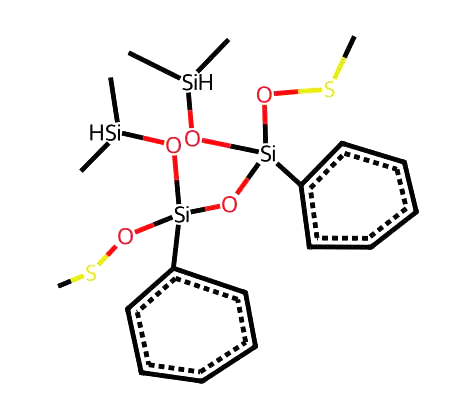 CSO[Si](O[SiH](C)C)(O[Si](OSC)(O[SiH](C)C)c1ccccc1)c1ccccc1